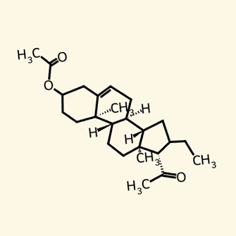 CCC1C[C@H]2[C@@H]3CC=C4CC(OC(C)=O)CC[C@]4(C)[C@H]3CC[C@]2(C)[C@H]1C(C)=O